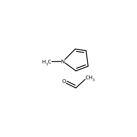 CC=O.Cn1cccc1